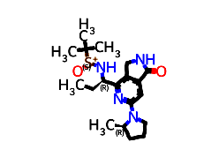 CC[C@@H](N[S@+]([O-])C(C)(C)C)c1nc(N2CCC[C@H]2C)cc2c1CNC2=O